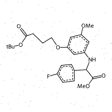 COC(=O)C(Nc1cc(OC)cc(OCCCC(=O)OC(C)(C)C)c1)c1ccc(F)cc1